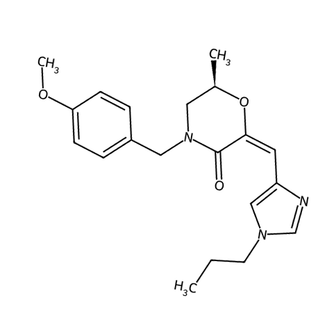 CCCn1cnc(/C=C2/O[C@H](C)CN(Cc3ccc(OC)cc3)C2=O)c1